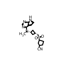 CN(c1ncnc2[nH]ccc12)[C@H]1C[C@@H](CS(=O)(=O)C2CCC(C#N)C2)C1